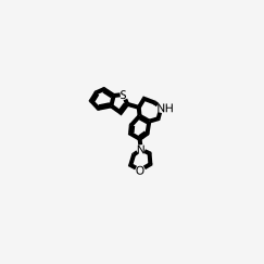 c1ccc2sc(C3CCNCc4cc(N5CCOCC5)ccc43)cc2c1